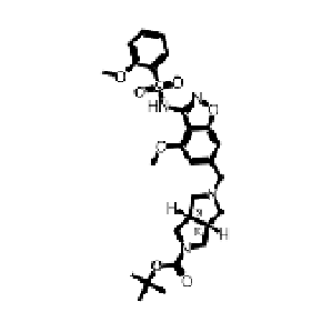 COc1ccccc1S(=O)(=O)Nc1noc2cc(CN3C[C@@H]4CN(C(=O)OC(C)(C)C)C[C@@H]4C3)cc(OC)c12